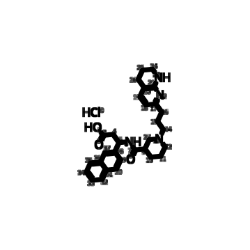 Cl.O=C(O)CC(NC(=O)C1CCCN(CCCc2ccc3c(n2)NCCC3)C1)c1ccc2ccccc2c1